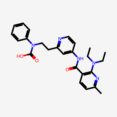 CCN(CC)c1nc(C)ccc1C(=O)Nc1ccnc(CCN(C(=O)O)c2ccccc2)c1